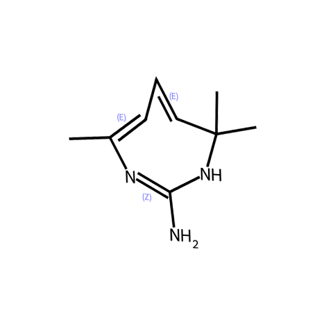 CC1=C\C=C\C(C)(C)N/C(N)=N\1